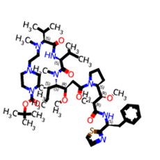 CC[C@H](C)[C@@H]([C@@H](CC(=O)N1CCC[C@H]1[C@H](OC)[C@@H](C)C(=O)N[C@@H](Cc1ccccc1)c1nccs1)OC)N(C)C(=O)[C@@H](NC(=O)[C@H](C(C)C)N(C)CCN1CCN(C(=O)OC(C)(C)C)CC1)C(C)C